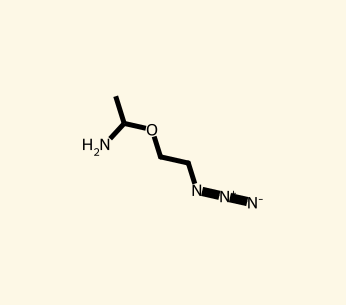 CC(N)OCCN=[N+]=[N-]